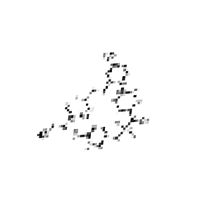 CC(CCc1cc(C(F)(F)F)ccc1N1CCN(C(=O)C(C)(C)Cc2ccc(Cl)cc2)CC1)CNC(=O)CCN